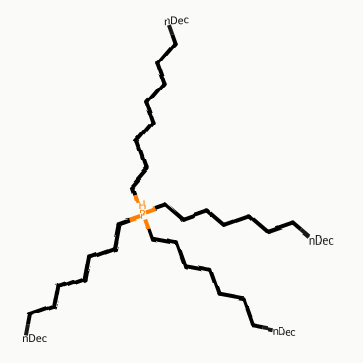 CCCCCCCCCCCCCCCCCC[PH](CCCCCCCCCCCCCCCCC)(CCCCCCCCCCCCCCCCC)CCCCCCCCCCCCCCCCC